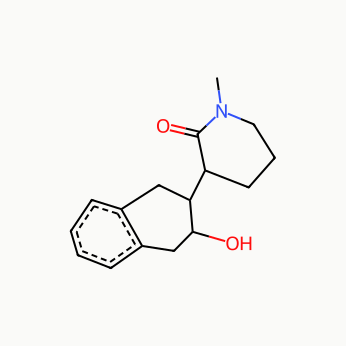 CN1CCCC(C2Cc3ccccc3CC2O)C1=O